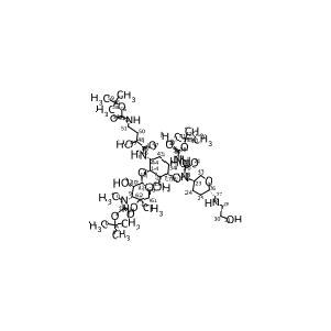 CN(C(=O)OC(C)(C)C)[C@@H]1[C@@H](O)[C@@H](O[C@@H]2[C@H](O)[C@H](ON(C(=O)O)[C@@H]3CC[C@@H](CNCCO)OC3)[C@@H](NC(=O)OC(C)(C)C)C[C@H]2NC(=O)C(O)CCNC(=O)OC(C)(C)C)OC[C@]1(C)O